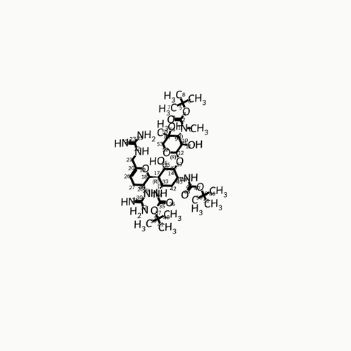 CN(C(=O)OC(C)(C)C)[C@@H]1[C@@H](O)[C@@H](O[C@@H]2[C@@H](O)[C@H](C3OC(CNC(=N)N)=CC[C@H]3NC(=N)N)[C@@H](NC(=O)OC(C)(C)C)C[C@H]2NC(=O)OC(C)(C)C)OC[C@]1(C)O